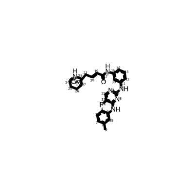 Cc1cccc(Nc2nc(Nc3cccc(NC(=O)/C=C/CN4CC5CCC4CN5)c3)ncc2F)c1